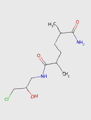 CC(CCC(C)C(=O)NCC(O)CCl)C(N)=O